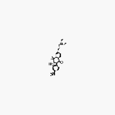 CCN(CC)CCCc1ccc2c(c1)C(C)(C)c1[nH]c3cc(N=O)ccc3c1C2=O